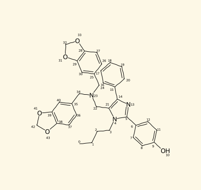 CCCCn1c(-c2ccc(O)cc2)nc(-c2ccccc2)c1CN(Cc1ccc2c(c1)OCO2)Cc1ccc2c(c1)OCO2